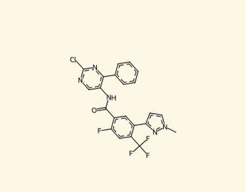 Cn1ccc(-c2cc(C(=O)Nc3cnc(Cl)nc3-c3ccccc3)c(F)cc2C(F)(F)F)n1